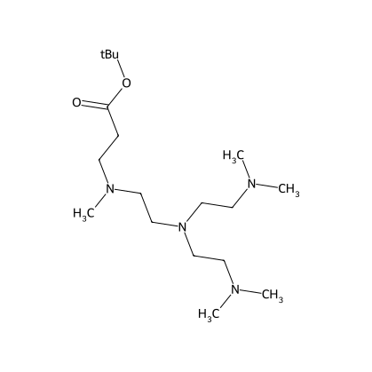 CN(C)CCN(CCN(C)C)CCN(C)CCC(=O)OC(C)(C)C